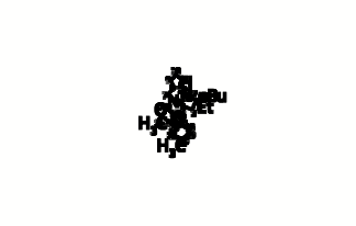 CCCCC1(CC)CCC(N(CC2CCCS2)C(=O)C2Oc3ccc(C)cc3C2C)NC1